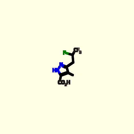 Cc1c(CC(F)C(F)(F)F)n[nH]c1C(=O)O